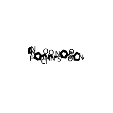 CN1CCC(S(=O)(=O)c2ccc3nc(NC(=O)NC(=O)c4cc(-n5cccn5)c(F)cc4Cl)sc3c2)CC1